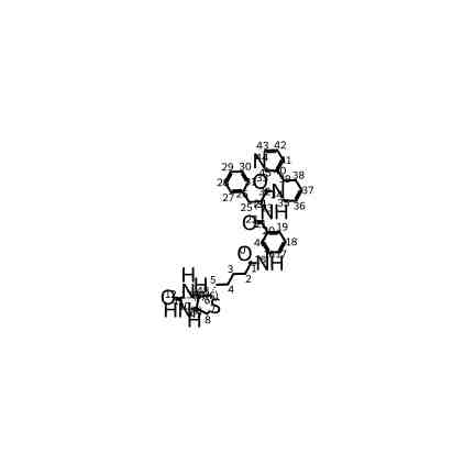 O=C(CCCC[C@@H]1SC[C@@H]2NC(=O)N[C@@H]21)Nc1cccc(C(=O)N[C@@H](Cc2ccccc2)C(=O)N2CC=CCC2c2cccnc2)c1